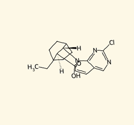 CCC12CCC(CC1)[C@H](n1ccc3cnc(Cl)nc31)[C@H]2C(=O)O